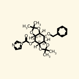 CC1(C)O[C@@H]2[C@@H](OCc3ccccc3)[C@@H]3OC(C)(C)O[C@H]3[C@H](OC(=O)n3ccnc3)[C@H]2O1